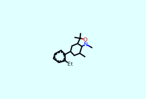 CCc1ccccc1C1CC(C)C2C(C1)C(C)(C)ON2C